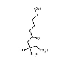 CCCCCCCCOCCOC(=O)CC(O)(CC(=O)O)C(=O)O